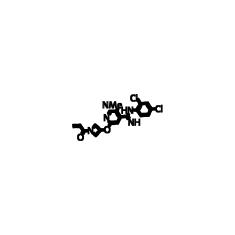 C=CC(=O)N1CC(Oc2cc(C(=N)Nc3ccc(Cl)cc3Cl)c(NC)cn2)C1